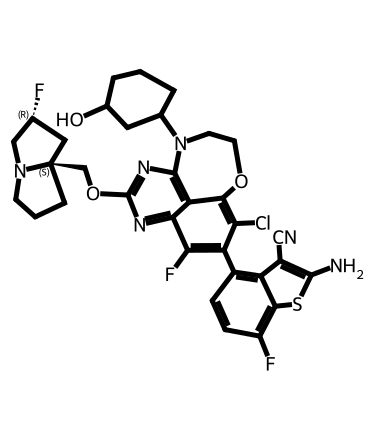 N#Cc1c(N)sc2c(F)ccc(-c3c(Cl)c4c5c(nc(OC[C@@]67CCCN6C[C@H](F)C7)nc5c3F)N(C3CCCC(O)C3)CCO4)c12